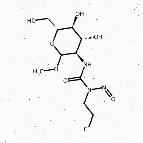 COC1O[C@H](CO)[C@@H](O)[C@H](O)[C@H]1NC(=O)N(CCCl)N=O